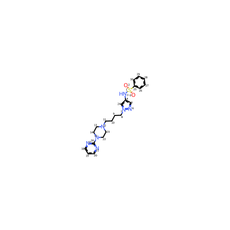 O=S(=O)(Nc1cnn(CCCCN2CCN(c3ncccn3)CC2)c1)c1ccccc1